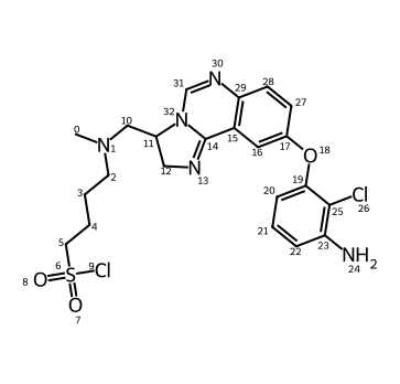 CN(CCCCS(=O)(=O)Cl)CC1CN=C2c3cc(Oc4cccc(N)c4Cl)ccc3N=CN21